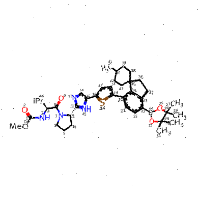 COC(=O)N[C@H](C(=O)N1CCC[C@H]1c1ncc(-c2ccc(-c3ccc(B4OC(C)(C)C(C)(C)O4)c4c3C3(CC4)CCC(C)CC3)s2)[nH]1)C(C)C